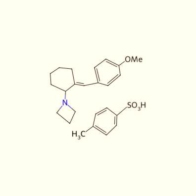 COc1ccc(C=C2CCCCC2N2CCC2)cc1.Cc1ccc(S(=O)(=O)O)cc1